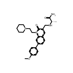 COc1ccc(-c2ccc3cc(CN[C@@H](C)C(N)=O)c(=O)n(CCN4CCCCC4)c3c2)cc1